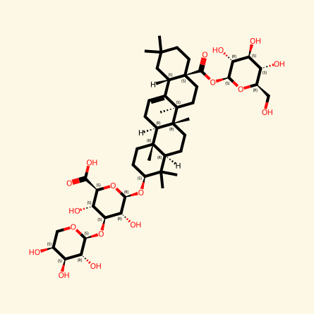 CC1(C)CC[C@]2(C(=O)O[C@@H]3O[C@H](CO)[C@@H](O)[C@H](O)[C@H]3O)CC[C@]3(C)C(=CC[C@@H]4[C@@]5(C)CC[C@H](O[C@@H]6O[C@H](C(=O)O)[C@@H](O)[C@H](O[C@@H]7OC[C@H](O)[C@H](O)[C@H]7O)[C@H]6O)C(C)(C)[C@@H]5CC[C@]43C)[C@@H]2C1